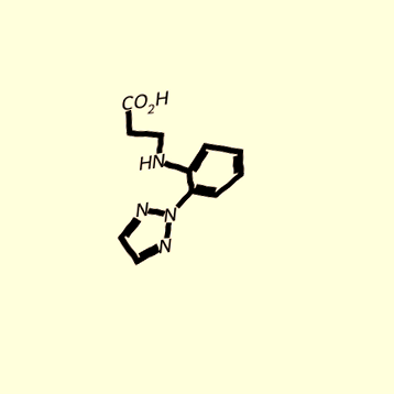 O=C(O)CCNc1ccccc1-n1nccn1